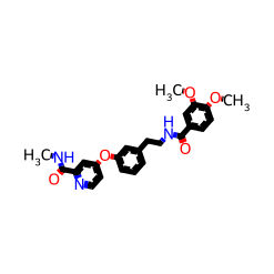 CNC(=O)c1cc(Oc2cccc(CCNC(=O)c3ccc(OC)c(OC)c3)c2)ccn1